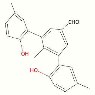 Cc1ccc(O)c(-c2cc(C=O)cc(-c3cc(C)ccc3O)c2C)c1